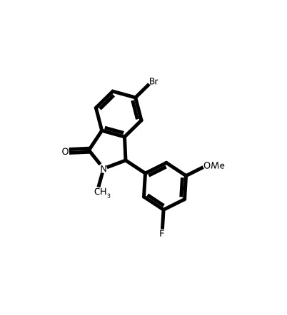 COc1cc(F)cc(C2c3cc(Br)ccc3C(=O)N2C)c1